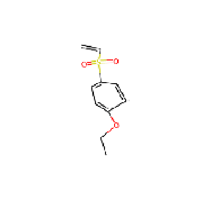 C=CS(=O)(=O)c1c[c]c(OCC)cc1